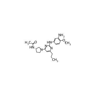 CCCc1cc(N2CC[C@H](NC(C)=O)C2)nc(Nc2ccc(OC)c(N)c2)n1